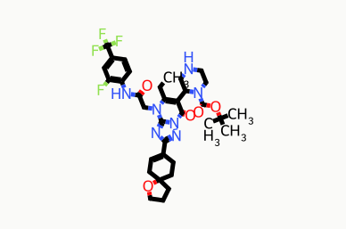 CCc1c(C2CNCCN2C(=O)OC(C)(C)C)c(=O)n2nc(C3=CCC4(CCCO4)CC3)nc2n1CC(=O)Nc1ccc(C(F)(F)F)cc1F